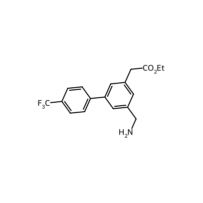 CCOC(=O)Cc1cc(CN)cc(-c2ccc(C(F)(F)F)cc2)c1